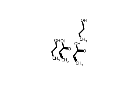 C=CC(=O)O.C=CC(=O)O.CCCO.CCCO